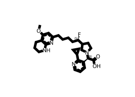 COc1cc(CCCC[C@H](F)C2CCN([C@@H](C(=O)O)c3cccnc3C3CC3)C2)nc2c1CCCN2